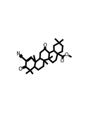 COC(=O)C12CCC(C)(C)CC1C1C(=O)CC3C4(C)C=C(C#N)C(=O)C(C)(C)C4CCC3(C)C1(C)CC2